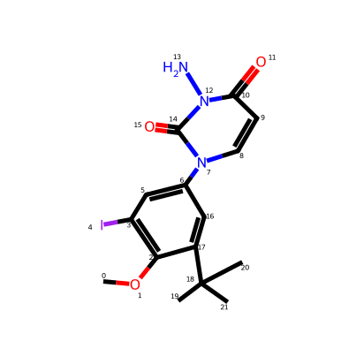 COc1c(I)cc(-n2ccc(=O)n(N)c2=O)cc1C(C)(C)C